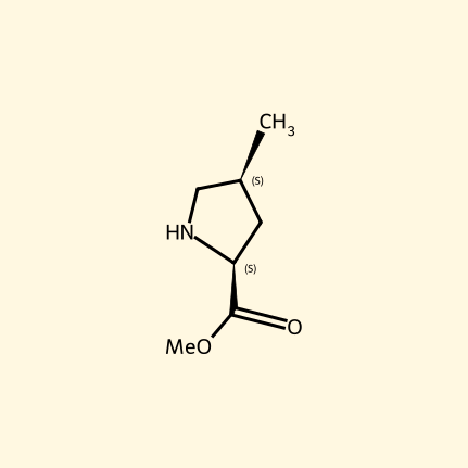 COC(=O)[C@@H]1C[C@H](C)CN1